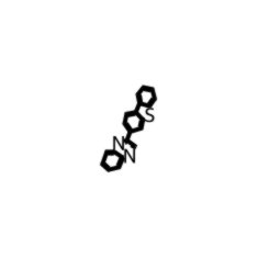 c1ccc2nc(-c3ccc4c(c3)sc3ccccc34)cnc2c1